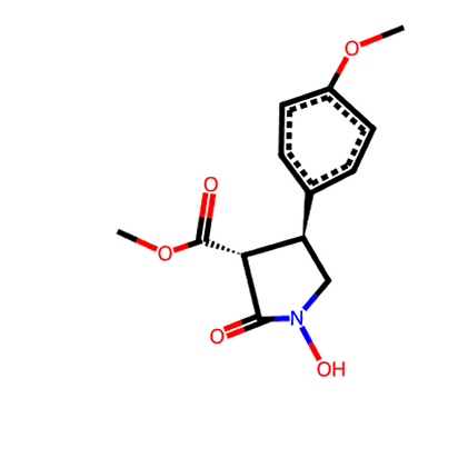 COC(=O)[C@H]1C(=O)N(O)C[C@@H]1c1ccc(OC)cc1